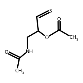 CC(=O)NCC(C=S)OC(C)=O